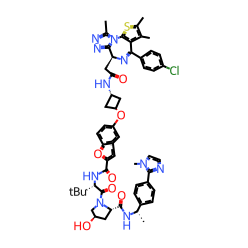 Cc1sc2c(c1C)C(c1ccc(Cl)cc1)=N[C@@H](CC(=O)N[C@H]1C[C@@H](Oc3ccc4oc(C(=O)N[C@H](C(=O)N5C[C@H](O)C[C@H]5C(=O)N[C@@H](C)c5ccc(-c6nccn6C)cc5)C(C)(C)C)cc4c3)C1)c1nnc(C)n1-2